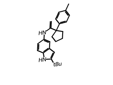 C=C(Nc1ccc2[nH]c(C(C)(C)C)cc2c1)C1(c2ccc(C)cc2)CCCC1